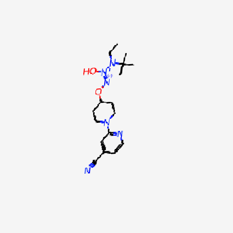 CCN(/[N+](O)=N/OC1CCN(c2cc(C#N)ccn2)CC1)C(C)(C)C